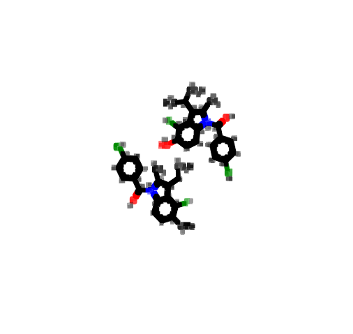 COc1ccc2c(c1F)c(CC(=O)O)c(C)n2C(=O)c1ccc(Cl)cc1.Cc1c(C(C)C(=O)O)c2c(F)c(O)ccc2n1C(=O)c1ccc(Cl)cc1